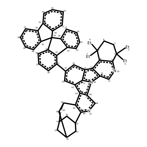 CCC1(CC)CCC(CC)(CC)c2c1ncc1c2c2cc(-c3cccc4c3-c3ccccc3C43c4ccccc4-c4ccccc43)cc3c4c5c(ncc4n1c32)C1CC2CC(C1)CC5C2